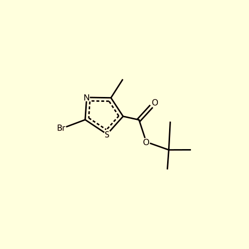 Cc1nc(Br)sc1C(=O)OC(C)(C)C